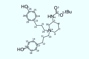 CC(C)(C)OC(=O)NC1CCC[N+](CCCc2ccc(O)cc2)(CCCc2ccc(O)cc2)C1